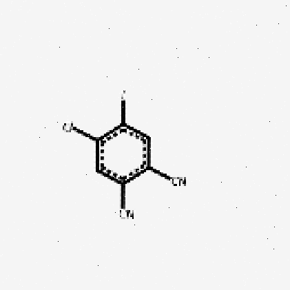 N#Cc1cc(Cl)c(I)cc1C#N